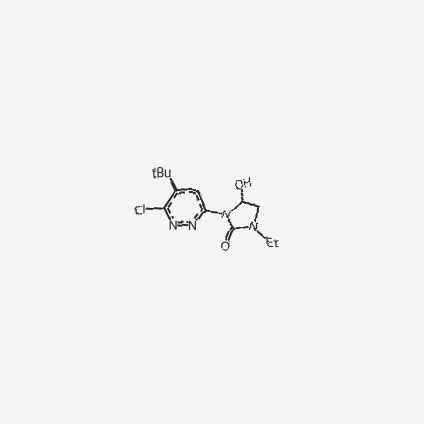 CCN1CC(O)N(c2cc(C(C)(C)C)c(Cl)nn2)C1=O